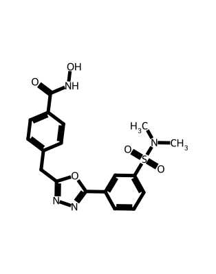 CN(C)S(=O)(=O)c1cccc(-c2nnc(Cc3ccc(C(=O)NO)cc3)o2)c1